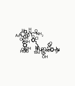 CC(=O)N1CC[C@H]2CC[C@@H](C(=O)N[C@@H](CCC(N)=O)COc3cccc(CCCc4cn([C@H](C(=O)N5C[C@H](O)C[C@H]5C(=O)N[C@@H](CN5CCOCC5)c5ccc(-c6scnc6C)cc5)C(C)(C)C)nn4)c3Cl)N2C(=O)[C@@H](NC(=O)c2cc3cc(C(=O)P(=O)(O)O)ccc3[nH]2)C1